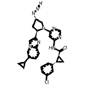 [N-]=[N+]=N[C@H]1C[C@H](c2cn3cc(C4CC4)ccc3n2)N(c2cc(NC(=O)[C@H]3C[C@@H]3c3cccc(Cl)c3)ncn2)C1